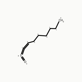 CCCCC[CH]C=C=S=O